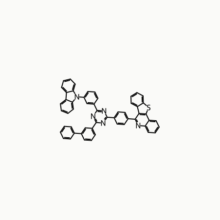 c1ccc(-c2cccc(-c3nc(-c4ccc(-c5nc6ccccc6c6sc7ccccc7c56)cc4)nc(-c4cccc(-n5c6ccccc6c6ccccc65)c4)n3)c2)cc1